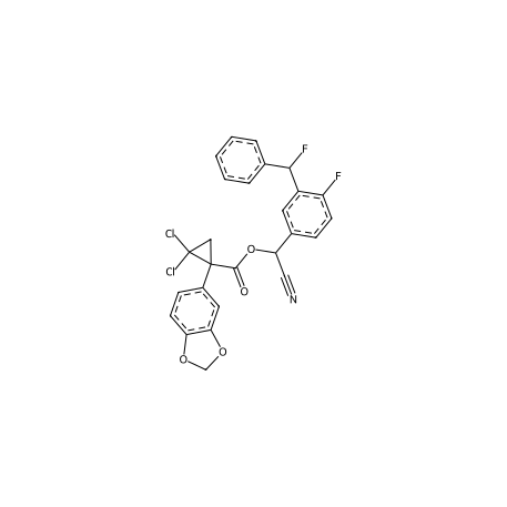 N#CC(OC(=O)C1(c2ccc3c(c2)OCO3)CC1(Cl)Cl)c1ccc(F)c(C(F)c2ccccc2)c1